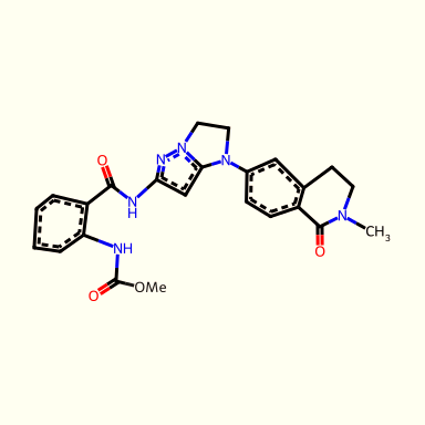 COC(=O)Nc1ccccc1C(=O)Nc1cc2n(n1)CCN2c1ccc2c(c1)CCN(C)C2=O